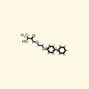 CC(S)C(=O)COCCOc1ccc(-c2ccccc2)cc1